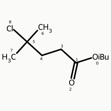 CC(C)COC(=O)CCC(C)(C)Cl